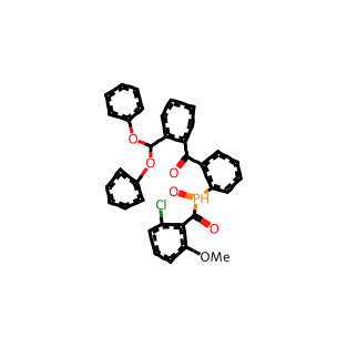 COc1cccc(Cl)c1C(=O)[PH](=O)c1ccccc1C(=O)c1ccccc1C(Oc1ccccc1)Oc1ccccc1